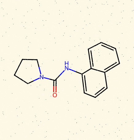 O=C(Nc1cccc2ccccc12)N1CCCC1